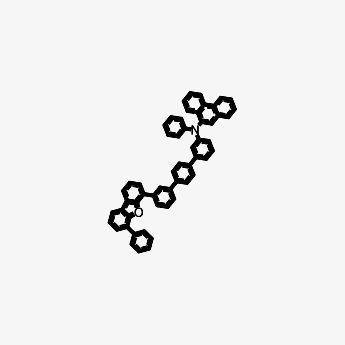 c1ccc(-c2cccc3c2oc2c(-c4cccc(-c5ccc(-c6cccc(N(c7ccccc7)c7cc8ccccc8c8ccccc78)c6)cc5)c4)cccc23)cc1